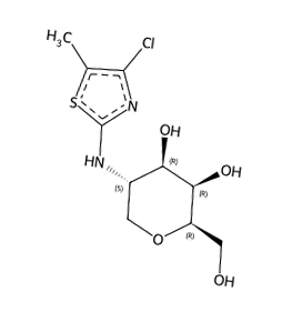 Cc1sc(N[C@H]2CO[C@H](CO)[C@H](O)[C@@H]2O)nc1Cl